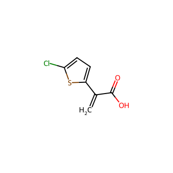 C=C(C(=O)O)c1ccc(Cl)s1